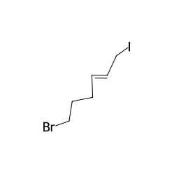 BrCCCC=CCI